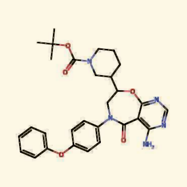 CC(C)(C)OC(=O)N1CCCC(C2CN(c3ccc(Oc4ccccc4)cc3)C(=O)c3c(N)ncnc3O2)C1